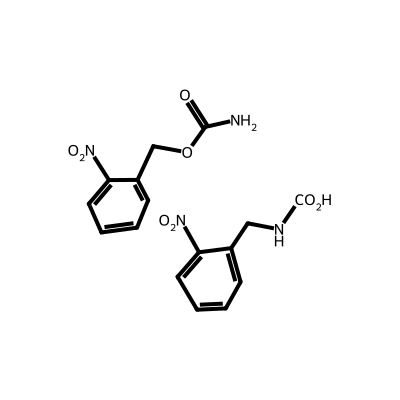 NC(=O)OCc1ccccc1[N+](=O)[O-].O=C(O)NCc1ccccc1[N+](=O)[O-]